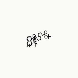 CC(C)(C)OC(=O)N1CCC2C1CCN2S(=O)(=O)c1cccc2cncc(C(F)F)c12